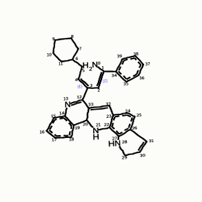 N/C(=C\C(=C/CC1CCCCC1)C1=Nc2ccccc2C2Nc3c(ccc4c3NCC=C4)C=C12)c1ccccc1